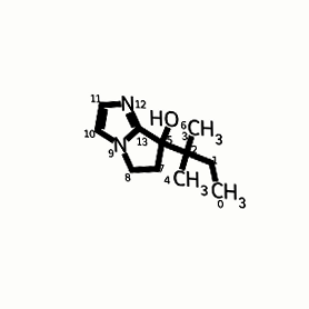 CCC(C)(C)C1(O)CCn2ccnc21